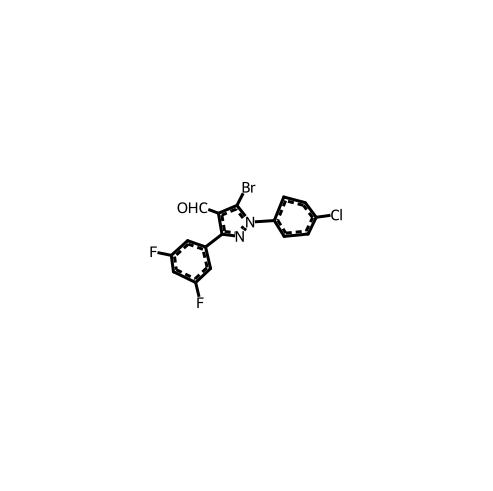 O=Cc1c(-c2cc(F)cc(F)c2)nn(-c2ccc(Cl)cc2)c1Br